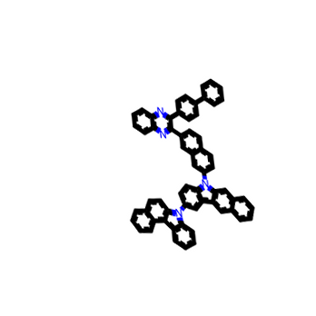 c1ccc(-c2ccc(-c3nc4ccccc4nc3-c3ccc4ccc(-n5c6ccc(-n7c8ccccc8c8c9ccccc9ccc87)cc6c6cc7ccccc7cc65)cc4c3)cc2)cc1